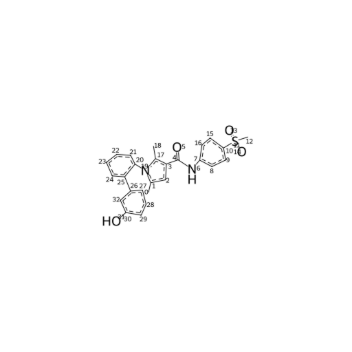 Cc1cc(C(=O)Nc2ccc(S(C)(=O)=O)cc2)c(C)n1-c1ccccc1-c1cccc(O)c1